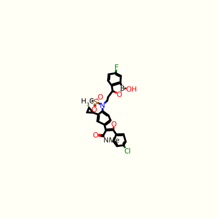 CNC(=O)c1c(-c2ccc(Cl)cc2)oc2cc(N(CCC3OB(O)c4cc(F)ccc43)S(C)(=O)=O)c(C3CC3)cc12